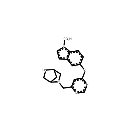 O=C(O)n1ccc2cc(Oc3cc(CN4CC5CC4CN5)ncn3)ccc21